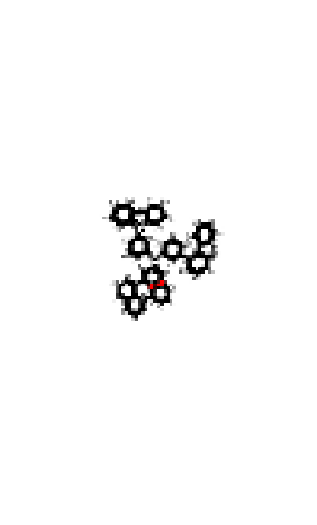 c1ccc(-c2cccc3cccc(-c4cccc(N(c5cccc(-c6cccc7sc8ccccc8c67)c5)c5cccc(-n6c7ccccc7c7ccccc76)c5)c4)c23)cc1